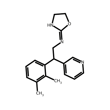 Cc1cccc(C(CN=C2NCCO2)c2cccnc2)c1C